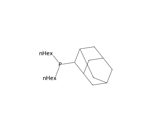 CCCCCCP(CCCCCC)C1C2CC3CC(C2)CC1C3